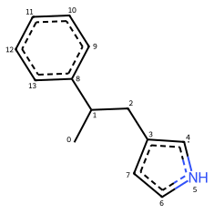 CC(Cc1[c][nH]cc1)c1ccccc1